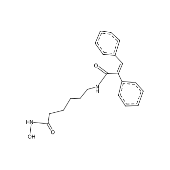 O=C(CCCCCNC(=O)C(=Cc1ccccc1)c1ccccc1)NO